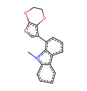 Cn1c2ccccc2c2cccc(-c3csc4c3OCCO4)c21